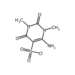 Cn1c(N)c(S(=O)(=O)Cl)c(=O)n(C)c1=O